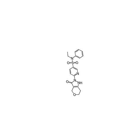 CCN(c1ccccc1)S(=O)(=O)c1ccc(-n2[nH]c3c(c2=O)COCC3)nc1